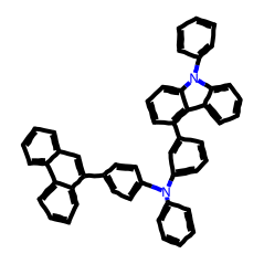 c1ccc(N(c2ccc(-c3cc4ccccc4c4ccccc34)cc2)c2cccc(-c3cccc4c3c3ccccc3n4-c3ccccc3)c2)cc1